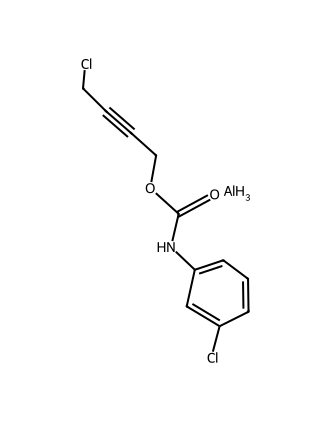 O=C(Nc1cccc(Cl)c1)OCC#CCCl.[AlH3]